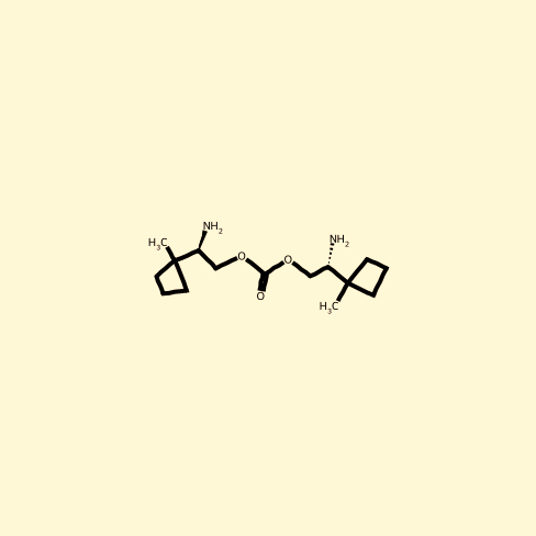 CC1([C@@H](N)COC(=O)OC[C@H](N)C2(C)CCC2)CCC1